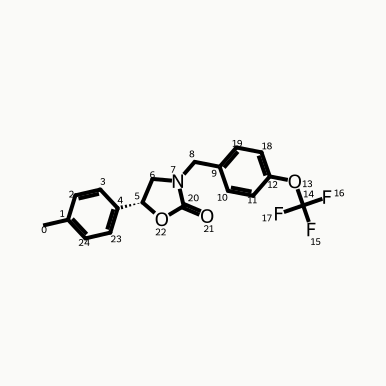 Cc1ccc([C@@H]2CN(Cc3ccc(OC(F)(F)F)cc3)C(=O)O2)cc1